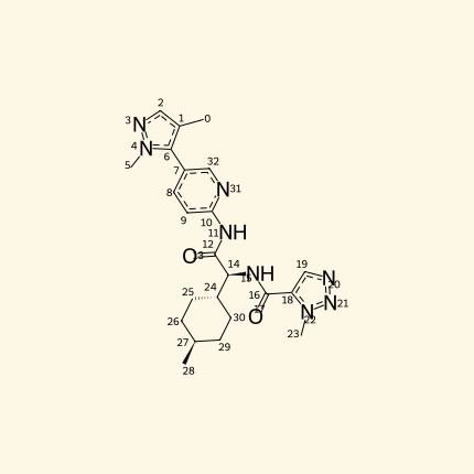 Cc1cnn(C)c1-c1ccc(NC(=O)[C@@H](NC(=O)c2cnnn2C)[C@H]2CC[C@H](C)CC2)nc1